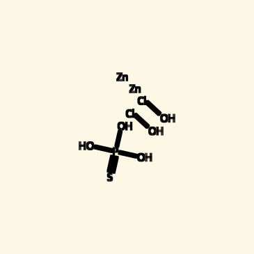 OCl.OCl.OP(O)(O)=S.[Zn].[Zn]